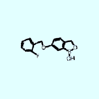 OB1OCc2ccc(OCc3ccccc3F)cc21